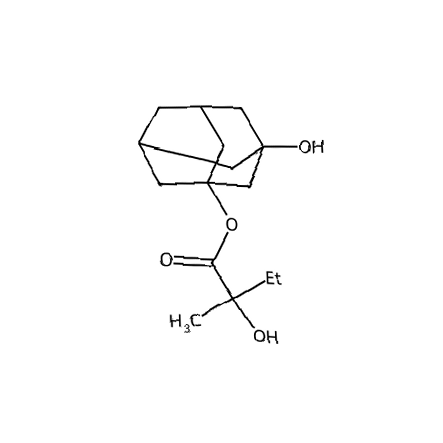 CCC(C)(O)C(=O)OC12CC3CC(CC(O)(C3)C1)C2